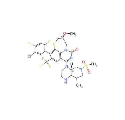 CO[C@@H]1CSc2c(-c3cc(Cl)c(F)cc3F)c(C(F)(F)F)cc3c(N4CCNC5C(C)CN(S(C)(=O)=O)C[C@H]54)nc(=O)n(c23)C1